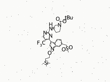 CC(C)(C)OC(=O)N1CCC[C@H](Nc2ncc(C(F)(F)F)c(-c3cn(COCC[Si](C)(C)C)c4cc(CS(C)(=O)=O)ccc34)n2)C1